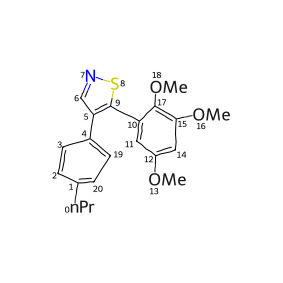 CCCc1ccc(-c2cnsc2-c2cc(OC)cc(OC)c2OC)cc1